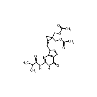 CC(=O)OCC1(COC(C)=O)C/C1=C/n1cnc2c(=O)[nH]c(NC(=O)C(C)C)nc21